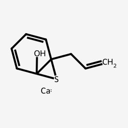 C=CCC12C=CC=CC1(O)S2.[Ca]